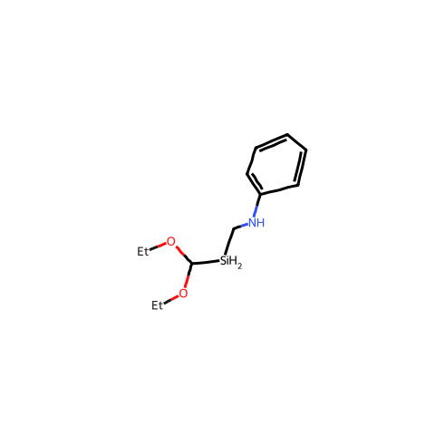 CCOC(OCC)[SiH2]CNc1ccccc1